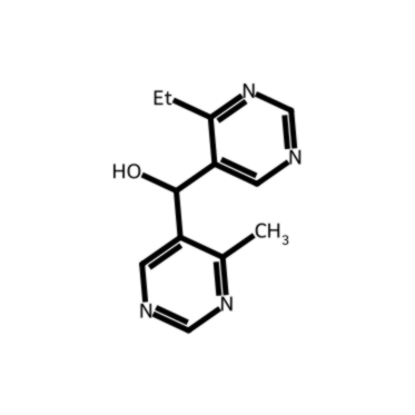 CCc1ncncc1C(O)c1cncnc1C